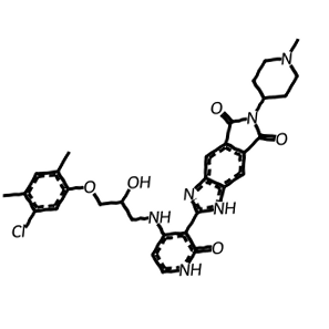 Cc1cc(C)c(OCC(O)CNc2cc[nH]c(=O)c2-c2nc3cc4c(cc3[nH]2)C(=O)N(C2CCN(C)CC2)C4=O)cc1Cl